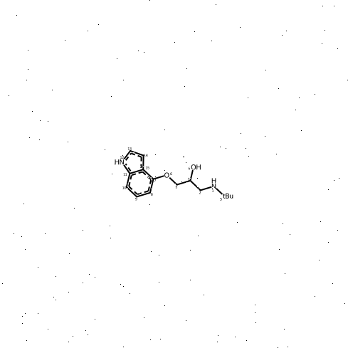 CC(C)(C)NCC(O)COc1cccc2[nH]ccc12